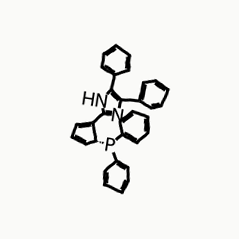 C1=C[C@@H](P(c2ccccc2)c2ccccc2)C(c2nc(-c3ccccc3)c(-c3ccccc3)[nH]2)=C1